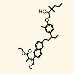 CCCC(C)(C)C(O)COc1ccc(C(CC)CCc2ccc3cc(N(C=O)C(C)C(=O)OCC)ccc3c2)cc1C